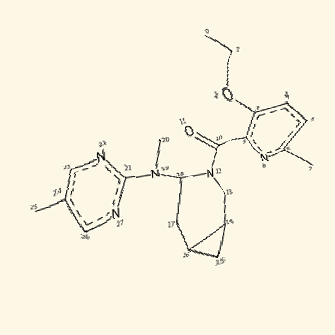 CCOc1ccc(C)nc1C(=O)N1CC2CC2CC1N(C)c1ncc(C)cn1